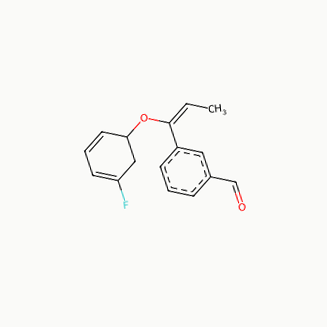 C/C=C(/OC1C=CC=C(F)C1)c1cccc(C=O)c1